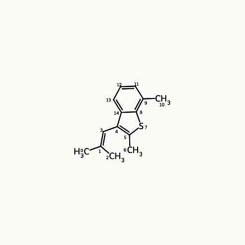 CC(C)=Cc1c(C)sc2c(C)cccc12